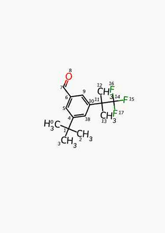 CC(C)(C)c1cc(C=O)cc(C(C)(C)C(F)(F)F)c1